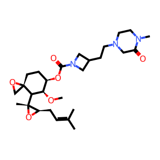 CO[C@H]1C([C@@]2(C)O[C@@H]2CC=C(C)C)[C@]2(CC[C@H]1OC(=O)N1CC(CCN3CCN(C)C(=O)C3)C1)CO2